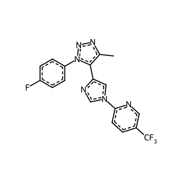 Cc1nnn(-c2ccc(F)cc2)c1-c1cn(-c2ccc(C(F)(F)F)cn2)cn1